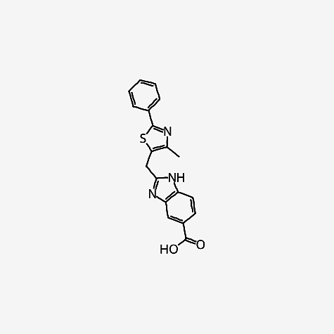 Cc1nc(-c2ccccc2)sc1Cc1nc2cc(C(=O)O)ccc2[nH]1